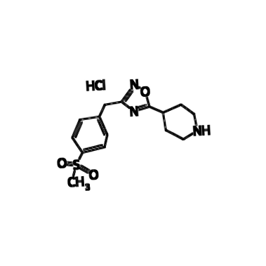 CS(=O)(=O)c1ccc(Cc2noc(C3CCNCC3)n2)cc1.Cl